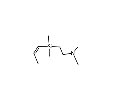 C/C=C\[Si](C)(C)CCN(C)C